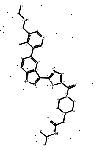 CCNCc1cncc(-c2ccc3[nH]nc(-c4ncc(C(=O)N5CCN(CC(=O)NC(C)C)CC5)[nH]4)c3c2)c1C